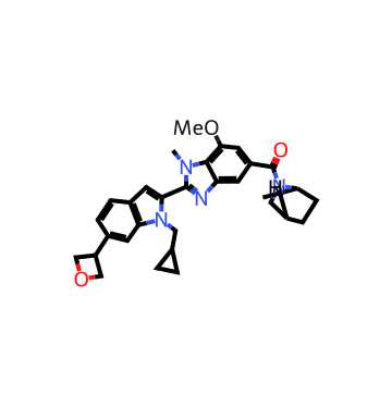 COc1cc(C(=O)N2CC3CCC2[C@@H]3C)cc2nc(-c3cc4ccc(C5COC5)cc4n3CC3CC3)n(C)c12